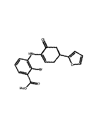 COC(=O)c1cccc(NC2=CCC(c3ccco3)CC2=O)c1Br